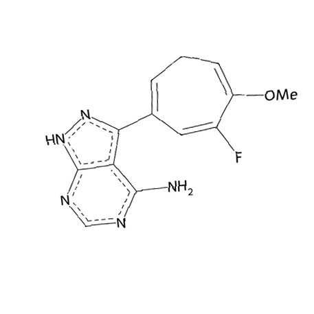 COC1=CCC=C(c2n[nH]c3ncnc(N)c23)C=C1F